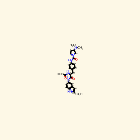 CN(C)C1CCN(C(=O)Nc2ccc(CC(NC(=O)C=O)C(=O)Nc3ccc4[nH]c(C(=O)O)cc4c3)cc2)C1